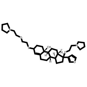 C[C@]12CCC(SCCOCCN3CCCC3)C=C1CC[C@@H]1[C@H]2CC[C@@]2(C)[C@H]1CCC2(OCCN1CCCC1)c1ccoc1